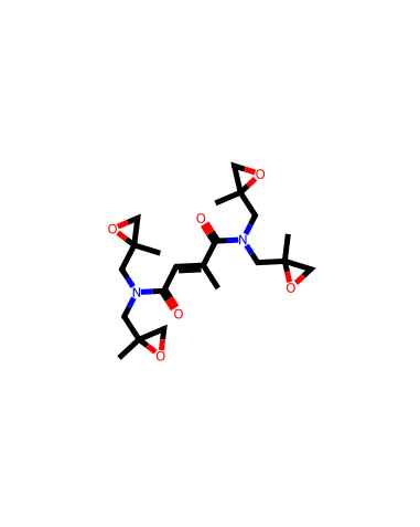 C/C(=C\C(=O)N(CC1(C)CO1)CC1(C)CO1)C(=O)N(CC1(C)CO1)CC1(C)CO1